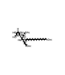 CCCCCCCCCCCCCCCCCCCCCCCCCC(=O)O[C@H](CCCCCCCCCCCCCC)[C@@H](O)[C@H](CO[C@H]1O[C@H](CO)[C@H](O)[C@H](O)[C@H]1O)NC(=O)OCOC(C)=O